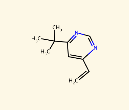 C=Cc1cc(C(C)(C)C)ncn1